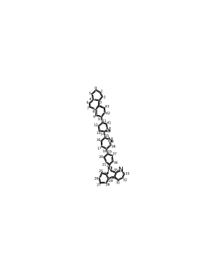 c1ccc2c(c1)ccc1cc(-c3ccc(-c4ccc(-c5ccc(-n6c7ccccc7c7cccnc76)cc5)cn4)nc3)ccc12